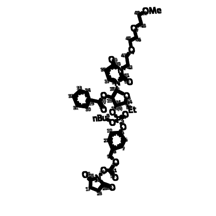 CCCCOP(=O)(Oc1ccc(COC(=O)ON2C(=O)CCC2=O)cc1)O[C@@H]1C(OC(=O)c2ccccc2)[C@H](n2ccc(=O)n(CCOCCOCCOC)c2=O)O[C@@H]1CC